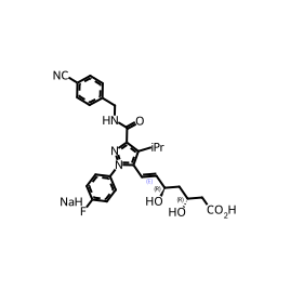 CC(C)c1c(C(=O)NCc2ccc(C#N)cc2)nn(-c2ccc(F)cc2)c1/C=C/[C@H](O)C[C@@H](O)CC(=O)O.[NaH]